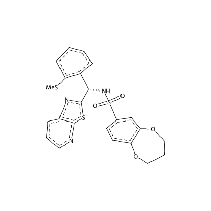 CSc1ccccc1[C@H](NS(=O)(=O)c1ccc2c(c1)OCCCO2)c1nc2cccnc2s1